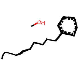 CCCCCCCCCc1ccccc1.CO